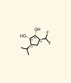 CC(C)[C@@H]1C[C@H](C(F)F)[C@@H](O)[C@H]1O